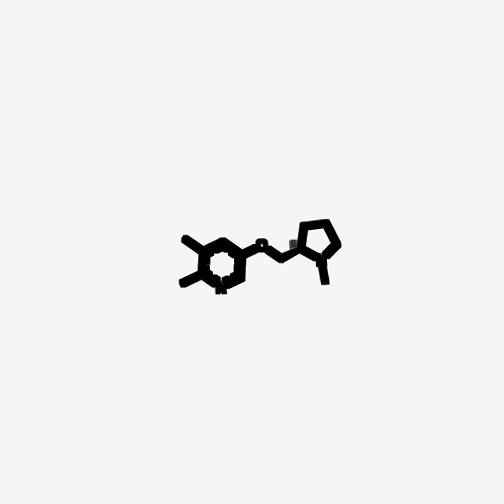 Cc1cc(OC[C@H]2CCCN2C)cnc1C